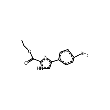 Bc1ccc(-c2c[nH]c(C(=O)OCC)n2)cc1